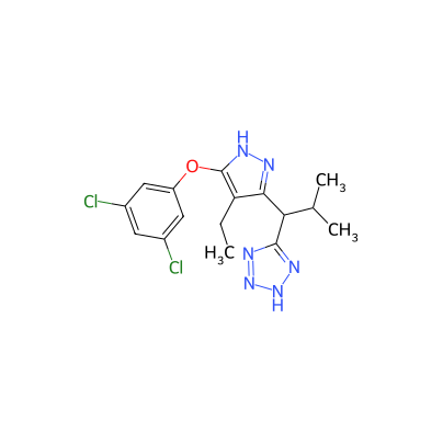 CCc1c(C(c2nn[nH]n2)C(C)C)n[nH]c1Oc1cc(Cl)cc(Cl)c1